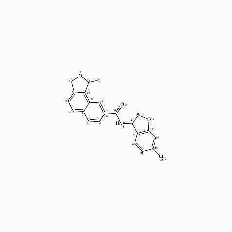 CC1OCc2cnc3ccc(C(=O)N[C@H]4COc5cc(C(F)(F)F)ccc54)cc3c21